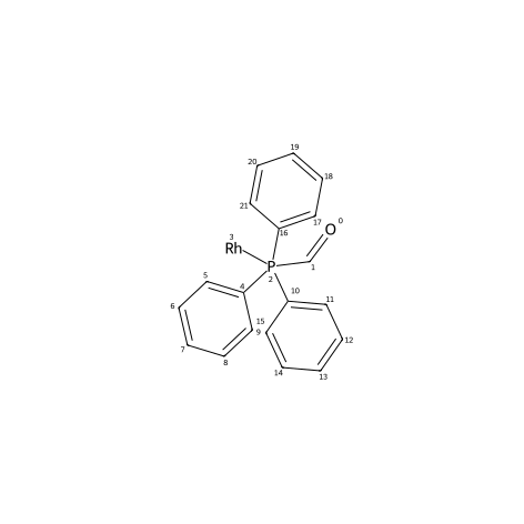 O=C[P]([Rh])(c1ccccc1)(c1ccccc1)c1ccccc1